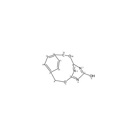 Oc1nc2nc(n1)OCc1ccc(cc1)CO2